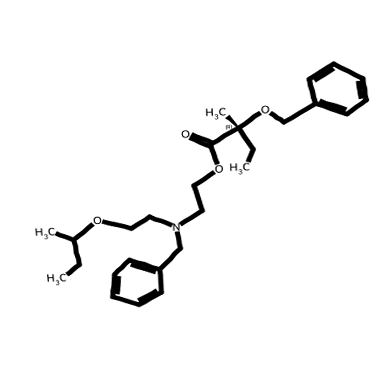 CCC(C)OCCN(CCOC(=O)[C@@](C)(CC)OCc1ccccc1)Cc1ccccc1